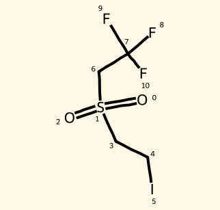 O=S(=O)(CCI)CC(F)(F)F